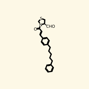 O=C[C@@H]1CSCN1C(=O)/C=C/c1ccc(CCCCCc2ccccc2)cc1